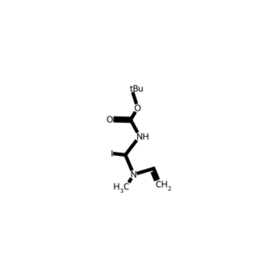 C=CN(C)C(I)NC(=O)OC(C)(C)C